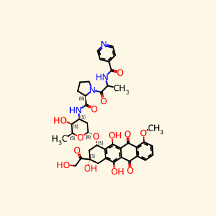 COc1cccc2c1C(=O)c1c(O)c3c(c(O)c1C2=O)C[C@@](O)(C(=O)CO)C[C@@H]3O[C@H]1C[C@H](NC(=O)[C@H]2CCCN2C(=O)C(C)NC(=O)c2ccncc2)[C@H](O)[C@H](C)O1